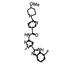 COC1CCN(c2ccc(C(=O)Nc3cc(-c4nc5cccc(F)c5[nH]4)n(C)n3)cn2)CC1